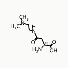 CN(C)CCNC(=O)C[C@H](N)C(=O)O